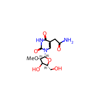 CO[C@H]1C(O)[C@@H](CO)O[C@H]1n1cc(CC(N)=O)c(=O)[nH]c1=O